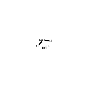 Cl.Cl.[Cl][Mo][Cl]